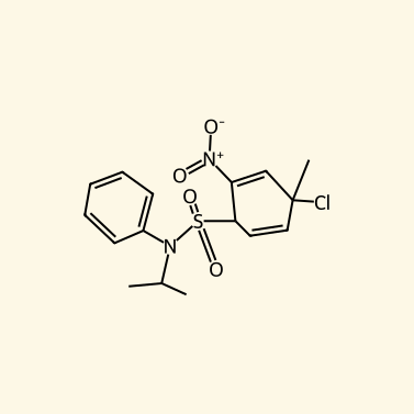 CC(C)N(c1ccccc1)S(=O)(=O)C1C=CC(C)(Cl)C=C1[N+](=O)[O-]